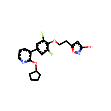 Oc1cc(CCOc2c(F)cc(-c3cccnc3OC3CCCC3)cc2F)on1